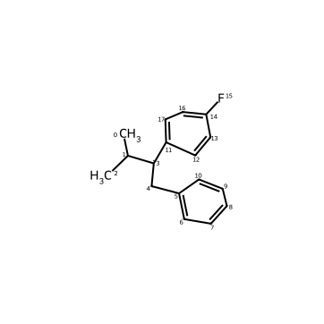 CC(C)[C](Cc1ccccc1)c1ccc(F)cc1